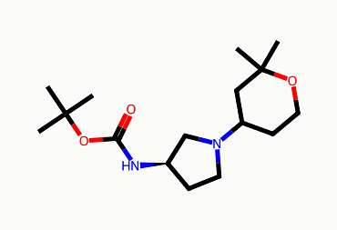 CC(C)(C)OC(=O)N[C@@H]1CCN(C2CCOC(C)(C)C2)C1